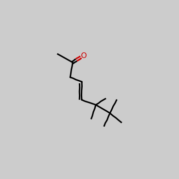 CC(=O)CC=CC(C)(C)C(C)(C)C